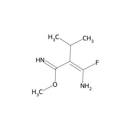 COC(=N)/C(=C(\N)F)C(C)C